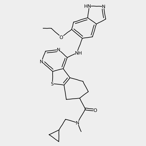 CCOc1cc2[nH]ncc2cc1Nc1ncnc2sc3c(c12)CCC(C(=O)N(C)CC1CC1)C3